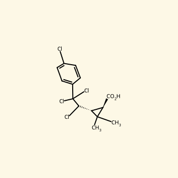 CC1(C)[C@H](C(=O)O)[C@H]1C(Cl)C(Cl)(Cl)c1ccc(Cl)cc1